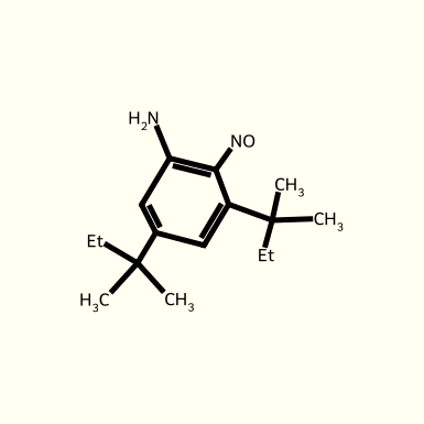 CCC(C)(C)c1cc(N)c(N=O)c(C(C)(C)CC)c1